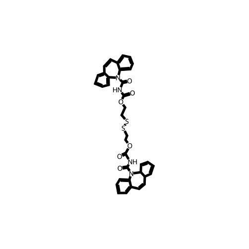 O=C(NC(=O)N1c2ccccc2C=Cc2ccccc21)OCCSSCCOC(=O)NC(=O)N1c2ccccc2C=CC2C=CC=CC21